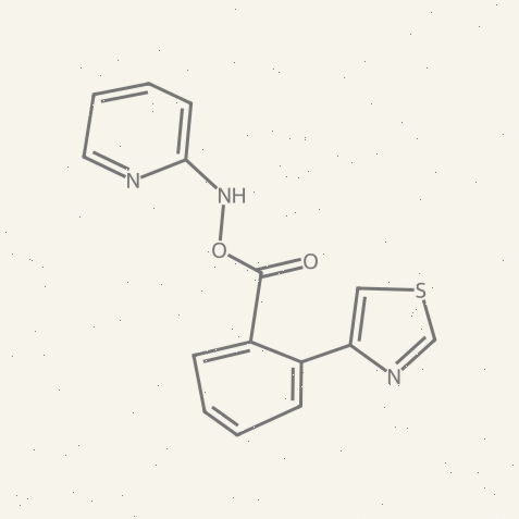 O=C(ONc1ccccn1)c1ccccc1-c1cscn1